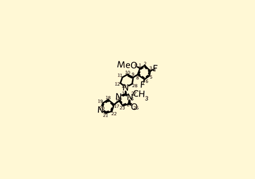 COc1cc(F)cc(F)c1C1=CCCN(c2nc(-c3ccncc3)cc(=O)n2C)C1